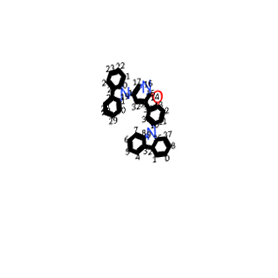 C1=CC2c3ccccc3N(c3ccc4oc5ncc(-n6c7ccccc7c7ccccc76)cc5c4c3)C2C=C1